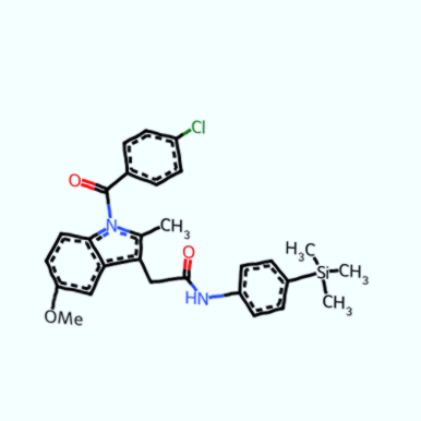 COc1ccc2c(c1)c(CC(=O)Nc1ccc([Si](C)(C)C)cc1)c(C)n2C(=O)c1ccc(Cl)cc1